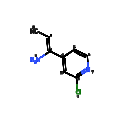 N#CC=C(N)c1ccnc(Cl)c1